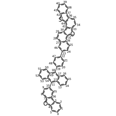 c1ccc2c(c1)oc1ccc(-c3c4ccccc4c(-c4ccc(-c5ccc6c(ccc7c6oc6ccc8c9ccccc9sc8c67)c5)cc4)c4ccccc34)cc12